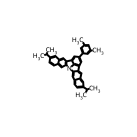 Cc1cc(C)cc(-c2cc3c4cc5cc(C(C)C)ccc5cc4n4c5cc6ccc(C(C)C)cc6cc5c(c2)c34)c1